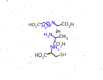 CC(C)[C@H](N)C(=O)O.C[C@H](N)C(=O)O.NCC(=O)O.N[C@@H](CS)C(=O)O